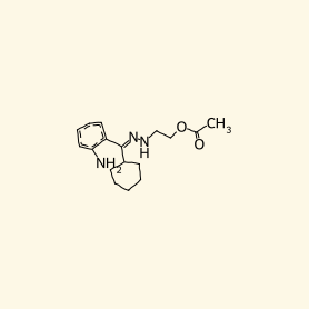 CC(=O)OCCNN=C(c1ccccc1N)C1CCCCC1